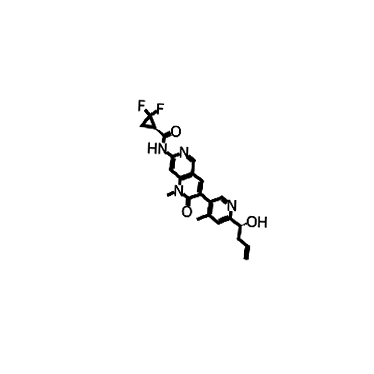 C=CC[C@@H](O)c1cc(C)c(-c2cc3cnc(NC(=O)[C@H]4CC4(F)F)cc3n(C)c2=O)cn1